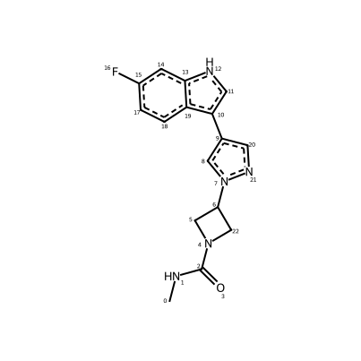 CNC(=O)N1CC(n2cc(-c3c[nH]c4cc(F)ccc34)cn2)C1